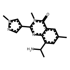 Cc1cc(C(C)N)c2nc(-c3cnn(C)c3)n(C)c(=O)c2c1